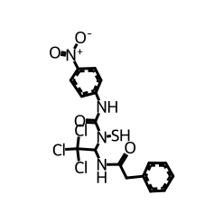 O=C(Cc1ccccc1)NC(N(S)C(=O)Nc1ccc([N+](=O)[O-])cc1)C(Cl)(Cl)Cl